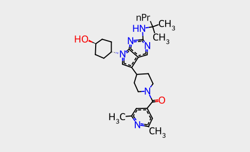 CCCC(C)(C)Nc1ncc2c(C3CCN(C(=O)c4cc(C)nc(C)c4)CC3)cn([C@H]3CC[C@H](O)CC3)c2n1